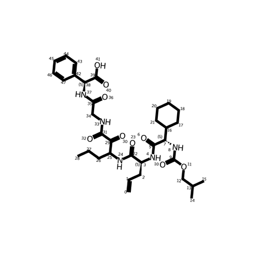 C=CC[C@H](NC(=O)[C@@H](NC(=O)OCC(C)C)C1CCCCC1)C(=O)NC(CCC)C(=O)C(=O)NCC(=O)N[C@H](C(=O)O)c1ccccc1